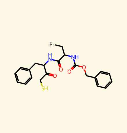 CC(C)CC(NC(=O)OCc1ccccc1)C(=O)NC(Cc1ccccc1)C(=O)CS